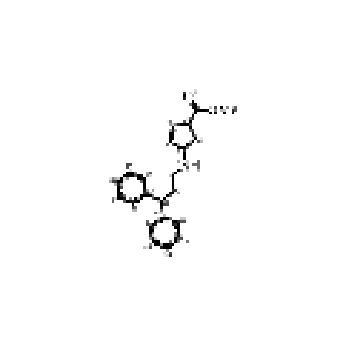 COC(=O)C1C=CC(NCCC(c2ccccc2)c2ccccc2)C1